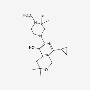 CC(C)C1(C)CN(c2nc(C3CC3)c3c(c2C#N)CC(C)(C)OC3)CCN1C(=O)O